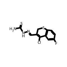 NC(=S)NN=CC1=C(Cl)c2cc(F)ccc2SC1